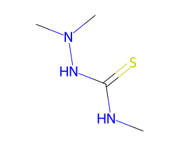 CNC(=S)NN(C)C